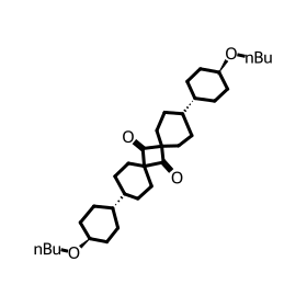 CCCCO[C@H]1CC[C@H](C2CCC3(CC2)C(=O)C2(CCC([C@H]4CC[C@H](OCCCC)CC4)CC2)C3=O)CC1